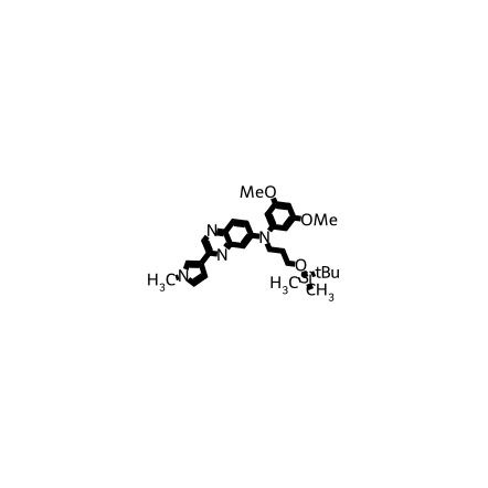 COc1cc(OC)cc(N(CCCO[Si](C)(C)C(C)(C)C)c2ccc3ncc(-c4ccn(C)c4)nc3c2)c1